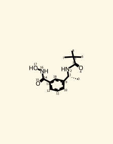 C[C@@H](NC(=O)C(C)(C)C)c1cccc(C(=O)NO)c1